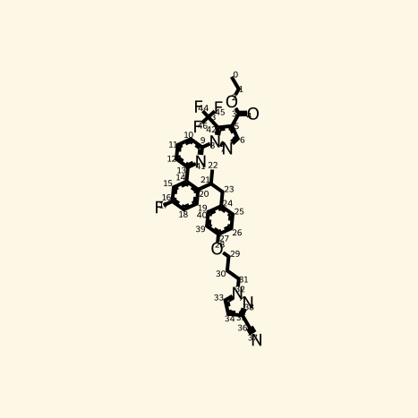 CCOC(=O)c1cnn(-c2cccc(-c3cc(F)ccc3C(C)Cc3ccc(OCCCn4ccc(C#N)n4)cc3)n2)c1C(F)(F)F